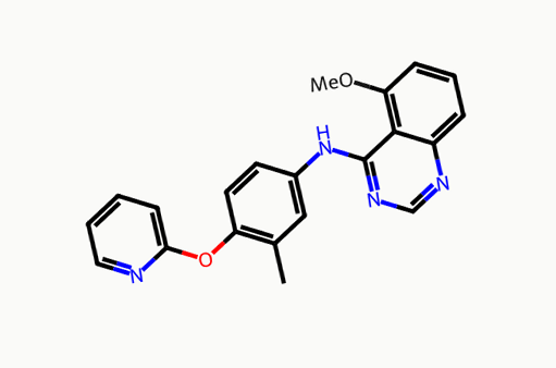 COc1cccc2ncnc(Nc3ccc(Oc4ccccn4)c(C)c3)c12